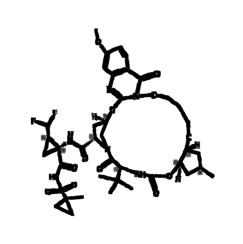 COc1ccc2c(=O)n3c(nc2c1)O[C@@H]1C[C@@H](C(=O)N[C@]2(C(=O)NS(=O)(=O)C4(C)CC4)C[C@H]2C(F)F)N(C1)C(=O)[C@H](C(C)(C)C)NC(=O)O[C@@H]1C[C@H](C)C[C@H]1CCCCC3